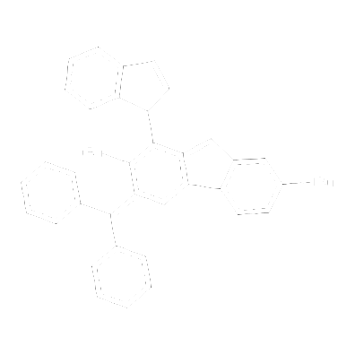 CC(C)(C)c1ccc2c(c1)[C]=c1c-2cc(=C(c2ccccc2)c2ccccc2)c(C(C)(C)C)c1C1C=Cc2ccccc21